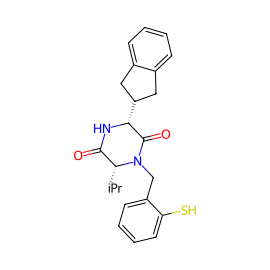 CC(C)[C@@H]1C(=O)N[C@H](C2Cc3ccccc3C2)C(=O)N1Cc1ccccc1S